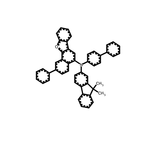 CC1(C)c2ccccc2-c2ccc(N(c3ccc(-c4ccccc4)cc3)c3cc4c5ccccc5oc4c4cc(-c5ccccc5)ccc34)cc21